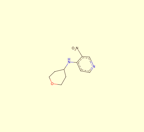 O=[N+]([O-])c1cnccc1NC1CCOCC1